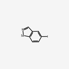 Ic1ccc2[se]ncc2c1